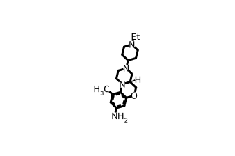 CCN1CCC(N2CCN3c4c(C)cc(N)cc4OC[C@H]3C2)CC1